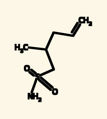 C=CCC(C)CS(N)(=O)=O